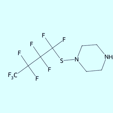 FC(F)(F)C(F)(F)C(F)(F)C(F)(F)SN1CCNCC1